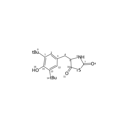 CC(C)(C)c1cc(CC2NC(=O)SC2=O)cc(C(C)(C)C)c1O